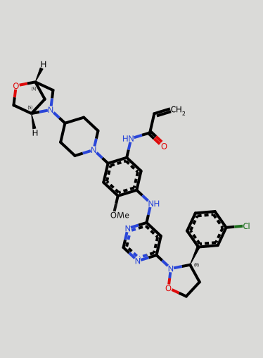 C=CC(=O)Nc1cc(Nc2cc(N3OCC[C@@H]3c3cccc(Cl)c3)ncn2)c(OC)cc1N1CCC(N2C[C@@H]3C[C@H]2CO3)CC1